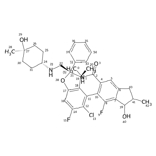 CNC(=O)c1cc2c(c(F)c1-c1c(Cl)c(F)cc3c1[C@H](C)[C@@](CN[C@H]1CC[C@](C)(O)CC1)(c1ccccc1)O3)C(O)C(C)C2